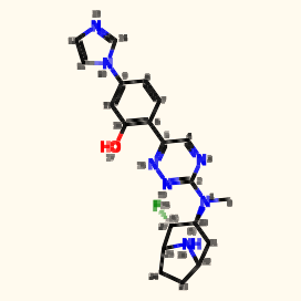 CN(c1ncc(-c2ccc(-n3ccnc3)cc2O)nn1)[C@H]1CC2CCC(N2)[C@@H]1F